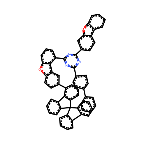 c1ccc(-c2ccc(-c3nc(-c4ccc5c(c4)oc4ccccc45)nc(-c4cccc5oc6ccc(-c7cccc8c7-c7ccccc7C87c8ccccc8-c8ccccc87)cc6c45)n3)cc2)cc1